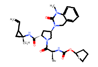 C=CC1C[C@]1(NC(=O)[C@@H]1C[C@@H](N2Cc3ccccc3N(C)C2=O)CN1C(=O)[C@@H](NC(=O)OC1CCCC1)C(C)(C)C)C(=O)O